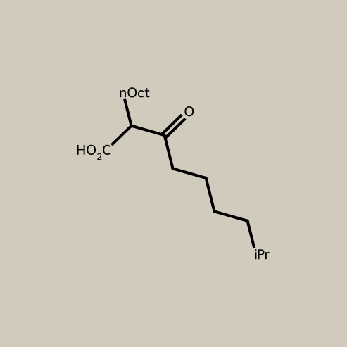 CCCCCCCCC(C(=O)O)C(=O)CCCCC(C)C